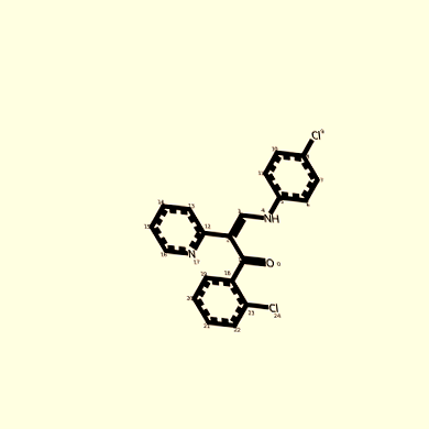 O=C(C(=CNc1ccc(Cl)cc1)c1ccccn1)c1ccccc1Cl